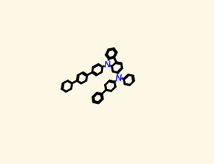 C1=CCCC(N(C2=CCC(c3ccccc3)CC2)C2=CC=C3c4ccccc4N(C4C=CC(C5=CC=C(C6CC=CCC6)CC5)=CC4)C3C2)=C1